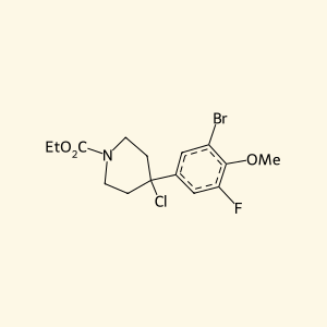 CCOC(=O)N1CCC(Cl)(c2cc(F)c(OC)c(Br)c2)CC1